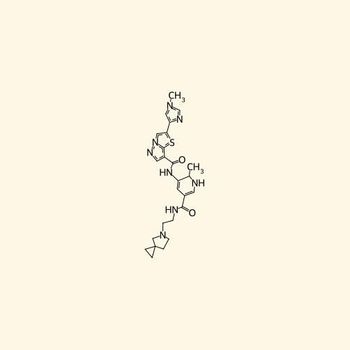 CC1NC=C(C(=O)NCCN2CCC3(CC3)C2)C=C1NC(=O)c1cnn2cc(-c3cn(C)cn3)sc12